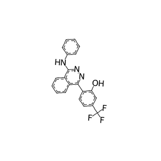 Oc1cc(C(F)(F)F)ccc1-c1nnc(Nc2ccccc2)c2ccccc12